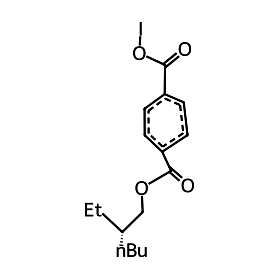 CCCC[C@H](CC)COC(=O)c1ccc(C(=O)OI)cc1